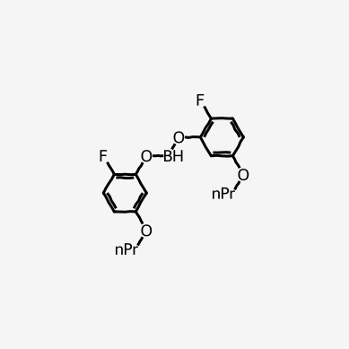 CCCOc1ccc(F)c(OBOc2cc(OCCC)ccc2F)c1